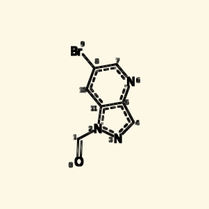 O=Cn1ncc2ncc(Br)cc21